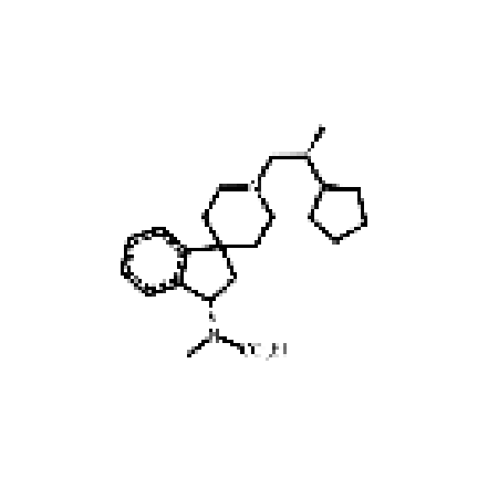 CCOC(=O)N(C)[C@H]1CC2(CCN(C[C@@H](C)C3CCCC3)CC2)c2ccccc21